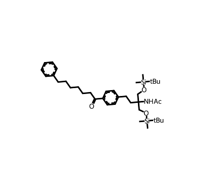 CC(=O)NC(CCc1ccc(C(=O)CCCCCCc2ccccc2)cc1)(CO[Si](C)(C)C(C)(C)C)CO[Si](C)(C)C(C)(C)C